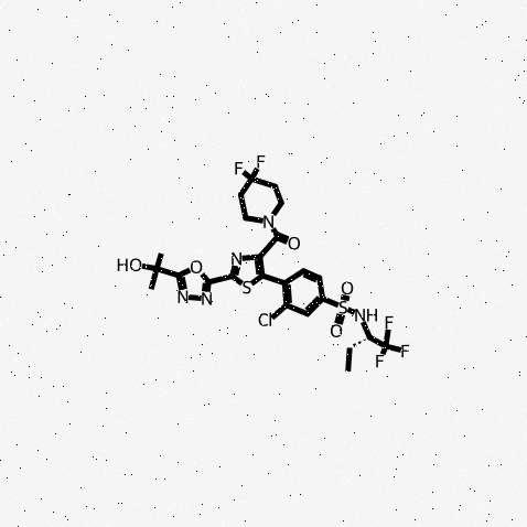 CC[C@H](NS(=O)(=O)c1ccc(-c2sc(-c3nnc(C(C)(C)O)o3)nc2C(=O)N2CCC(F)(F)CC2)c(Cl)c1)C(F)(F)F